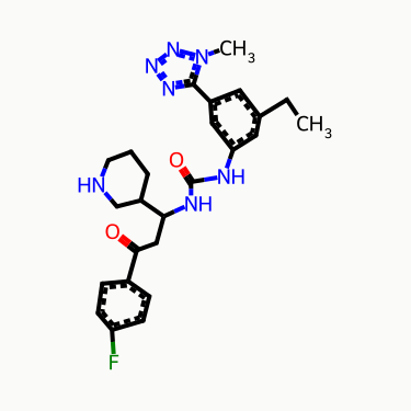 CCc1cc(NC(=O)NC(CC(=O)c2ccc(F)cc2)C2CCCNC2)cc(-c2nnnn2C)c1